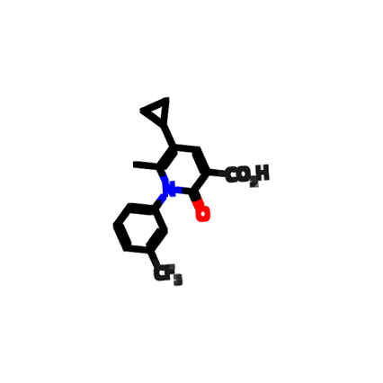 Cc1c(C2CC2)cc(C(=O)O)c(=O)n1-c1cccc(C(F)(F)F)c1